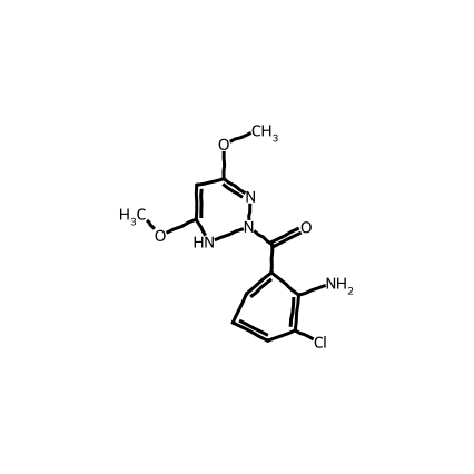 COC1=CC(OC)=NN(C(=O)c2cccc(Cl)c2N)N1